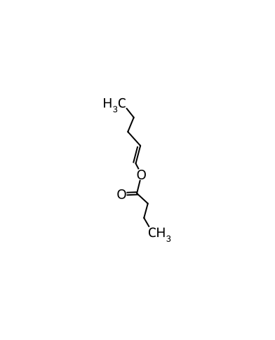 CCCC=COC(=O)CCC